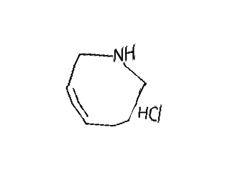 C1=CCNCC1.Cl